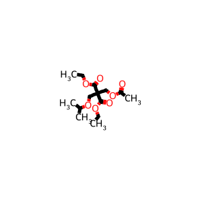 CCOC(=O)C(COC(C)=O)(COC(C)C)C(=O)OCC